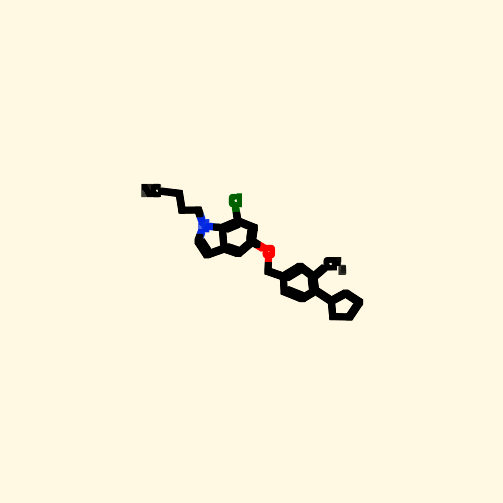 N#CCCCn1ccc2cc(OCc3ccc(C4CCCC4)c(C(F)(F)F)c3)cc(Cl)c21